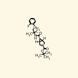 CC(C)(COc1ccccc1F)NC(=O)[C@H]1[C@@H]2CN(C(=O)OC(C)(C)C)C[C@@H]21